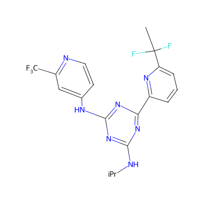 CC(C)Nc1nc(Nc2ccnc(C(F)(F)F)c2)nc(-c2cccc(C(C)(F)F)n2)n1